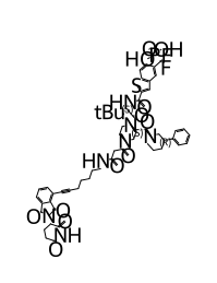 CC(C)(C)[C@H](NC(=O)c1cc2cc(C(F)(F)P(=O)(O)O)ccc2s1)C(=O)N1CCN(C(=O)CC(=O)NCCCCCC#Cc2cccc3c2C(=O)N(C2CCC(=O)NC2=O)C3=O)C[C@H]1C(=O)N1CCC[C@H](c2ccccc2)C1